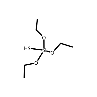 CCO[Si](S)(OCC)OCC